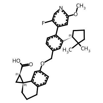 COc1cc(-c2ccc(COc3ccc4c(c3)[C@]3(CCC4)C[C@H]3C(=O)O)cc2[C@@H]2CCCC2(C)C)c(F)cn1